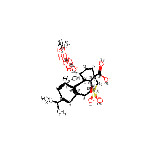 CC(C)c1ccc2c(c1)CC[C@H]1[C@@](CS(=O)(=O)[O-])(C(=O)[O-])CCC[C@]21C.[Al+3].[Al+3].[OH-].[OH-].[OH-].[OH-]